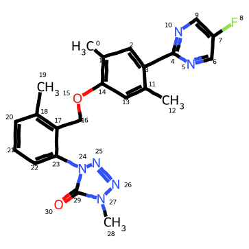 Cc1cc(-c2ncc(F)cn2)c(C)cc1OCc1c(C)cccc1-n1nnn(C)c1=O